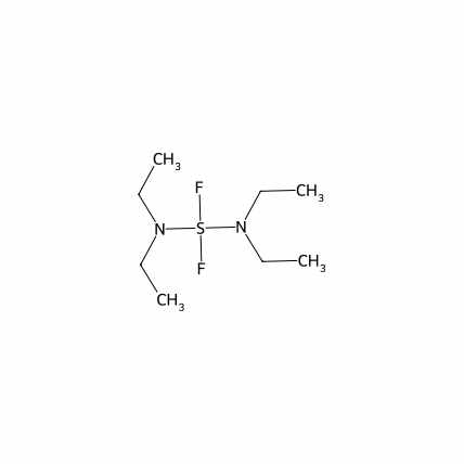 CCN(CC)S(F)(F)N(CC)CC